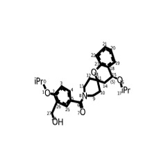 CC(C)Oc1ccc(C(=O)N2CCC3(CC2)C[C@H](OC(C)C)c2ccccc2O3)cc1CO